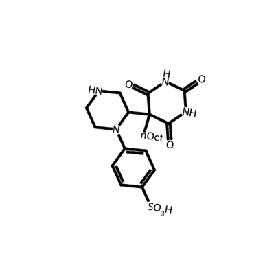 CCCCCCCCC1(C2CNCCN2c2ccc(S(=O)(=O)O)cc2)C(=O)NC(=O)NC1=O